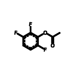 CC(=O)Oc1c(F)ccc(F)c1F